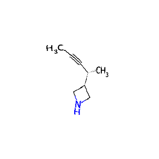 CC#C[C@H](C)C1CNC1